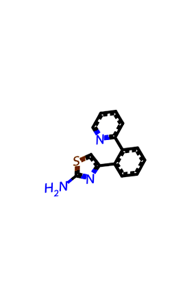 Nc1nc(-c2ccccc2-c2ccccn2)cs1